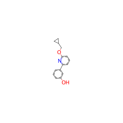 Oc1cccc(-c2cccc(OCC3CC3)n2)c1